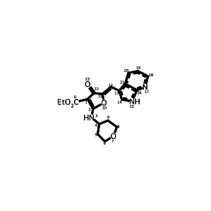 CCOC(=O)C1=C(NC2CCOCC2)OC(=Cc2c[nH]c3ncccc23)C1=O